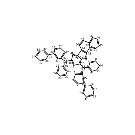 C1=CC(N(c2cccc(-c3ccccc3)c2)c2cc(N(c3ccccc3)c3cccc(-c4ccccc4)c3)cc3c2sc2c4ccccc4ccc32)=CCC1